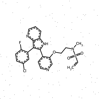 C=CS(=O)(=O)N(C)CCOc1cnccc1-c1[nH]c2cccnc2c1-c1cc(Cl)ccc1F